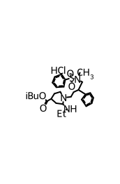 CCNC1CC(C(=O)OCC(C)C)CCN1CCC(CN(C)S(=O)(=O)c1ccccc1)c1ccccc1.Cl